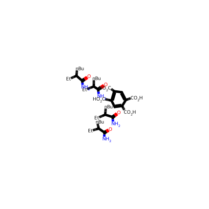 CCCCC(CC)C(N)=O.CCCCC(CC)C(N)=O.CCCCC(CC)C(N)=O.CCCCC(CC)C(N)=O.O=C(O)c1cc(C(=O)O)c(C(=O)O)cc1C(=O)O